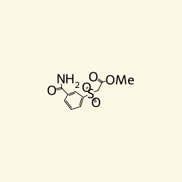 COC(=O)CS(=O)(=O)c1cccc(C(N)=O)c1